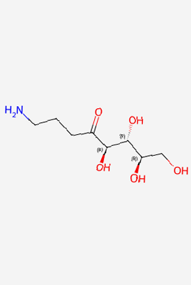 NCCCC(=O)[C@H](O)[C@H](O)[C@H](O)CO